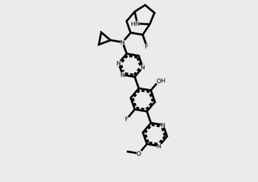 COc1cc(-c2cc(O)c(-c3ncc(N(C4CC4)C4CC5CCC(N5)C4F)nn3)cc2F)ncn1